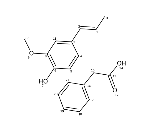 CC=Cc1ccc(O)c(OC)c1.O=C(O)Cc1ccccc1